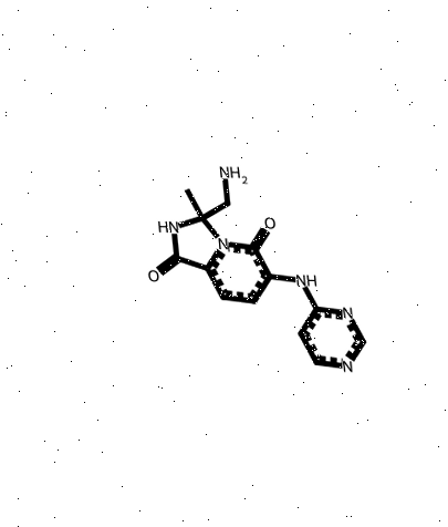 CC1(CN)NC(=O)c2ccc(Nc3ccncn3)c(=O)n21